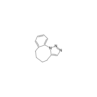 c1ccc2c(c1)CCCCc1cnnn1-2